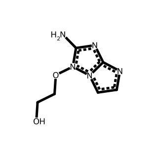 Nc1nc2nccn2n1OCCO